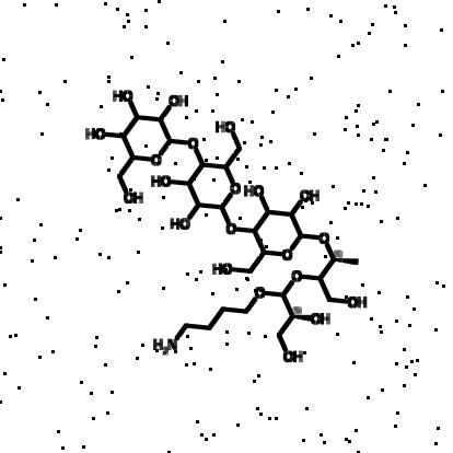 C[C@H](OC1OC(CO)C(OC2OC(CO)C(OC3OC(CO)C(O)C(O)C3O)C(O)C2O)C(O)C1O)C(CO)OC(OCCCCN)[C@@H](O)CO